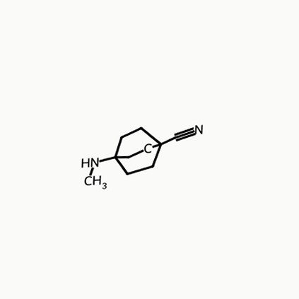 CNC12CCC(C#N)(CC1)CC2